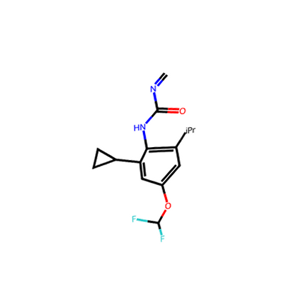 C=NC(=O)Nc1c(C(C)C)cc(OC(F)F)cc1C1CC1